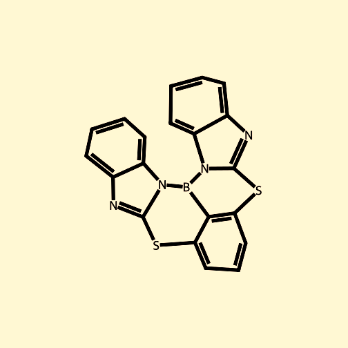 c1cc2c3c(c1)Sc1nc4ccccc4n1B3n1c(nc3ccccc31)S2